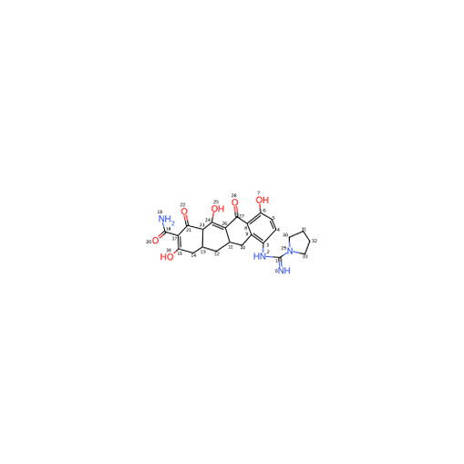 N=C(Nc1ccc(O)c2c1CC1CC3CC(O)=C(C(N)=O)C(=O)C3C(O)=C1C2=O)N1CCCC1